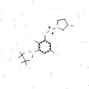 CC1(C)OB(c2cc(Cl)cc(NS(=O)(=O)N3CC[C@@H](F)C3)c2F)OC1(C)C